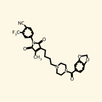 CC1=C(CCCCN2CCN(C(=O)c3ccc4c(c3)OCO4)CC2)C(=O)N(c2ccc(C#N)c(C(F)(F)F)c2)C1=O